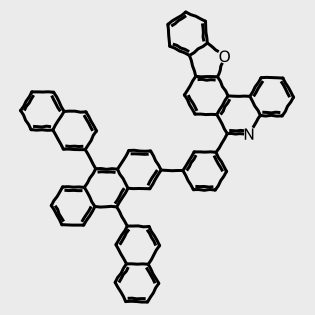 c1cc(-c2ccc3c(-c4ccc5ccccc5c4)c4ccccc4c(-c4ccc5ccccc5c4)c3c2)cc(-c2nc3ccccc3c3c2ccc2c4ccccc4oc23)c1